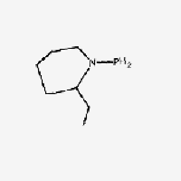 CCC1CCCCN1P